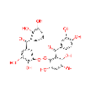 O=C(c1cc(O)c(O)c(OOc2c(O)cc(O)c(O)c2C(=O)c2ccc(O)c(O)c2)c1)c1cccc(O)c1O